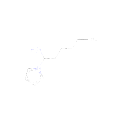 CCCCCC(N)n1cccc1